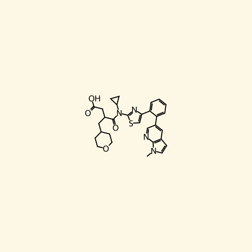 Cn1ccc2cc(-c3ccccc3-c3csc(N(C(=O)C(CC(=O)O)CC4CCOCC4)C4CC4)n3)cnc21